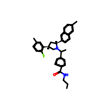 CCCNC(=O)c1ccc(C(C)N2C[C@H](c3cc(C)ccc3F)C[C@@H]2c2ccc3cc(C)ccc3c2)cc1